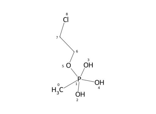 CP(O)(O)(O)OCCCl